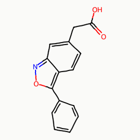 O=C(O)Cc1ccc2c(-c3ccccc3)onc2c1